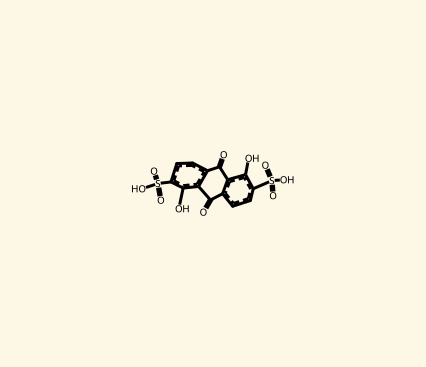 O=C1c2ccc(S(=O)(=O)O)c(O)c2C(=O)c2ccc(S(=O)(=O)O)c(O)c21